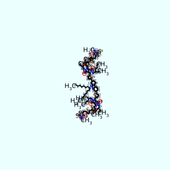 CCCCCCCCC(CCCCCCCC)n1c2cc(-c3ccc(C4=C5C(=O)N(CC(CC)CCCC)C(c6ccc(-c7ccc(/C=C8/SC(=S)N(CC)C8=O)s7)s6)=C5C(=O)N4CC(CC)CCCC)s3)ccc2c2ccc(-c3ccc(C4=C5C(=O)N(CC(CC)CCCC)C(c6ccc(-c7ccc(/C=C8/SC(=S)N(CC)C8=O)s7)s6)=C5C(=O)N4CC(CC)CCCC)s3)cc21